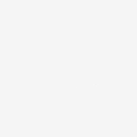 CCOC(=O)c1ccc(Br)c(OC(F)F)c1Br